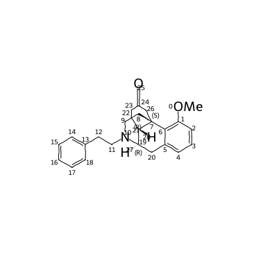 COc1cccc2c1[C@]13CCN(CCc4ccccc4)[C@H](C2)[C@@H]1CCC(=O)C3